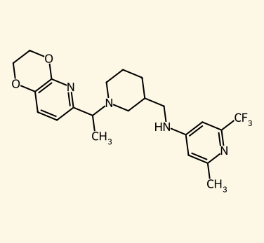 Cc1cc(NCC2CCCN(C(C)c3ccc4c(n3)OCCO4)C2)cc(C(F)(F)F)n1